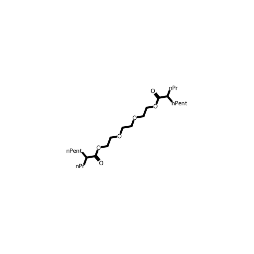 CCCCCC(CCC)C(=O)OCCOCCOCCOC(=O)C(CCC)CCCCC